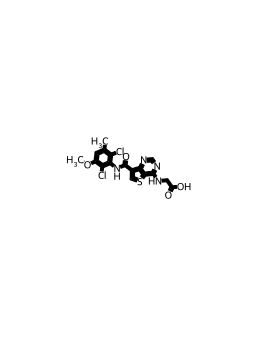 COc1cc(C)c(Cl)c(NC(=O)c2csc3c(NCC(=O)O)ncnc23)c1Cl